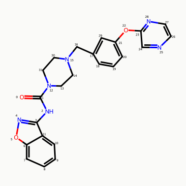 O=C(Nc1noc2ccccc12)N1CCN(Cc2cccc(Oc3cnccn3)c2)CC1